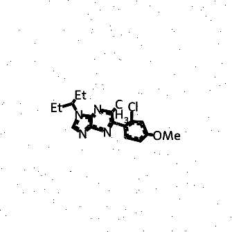 CCC(CC)n1cnc2nc(-c3ccc(OC)cc3Cl)c(C)nc21